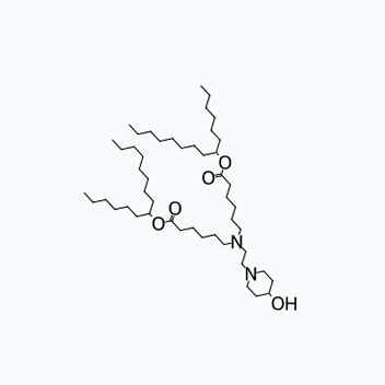 CCCCCCCCC(CCCCCC)OC(=O)CCCCCN(CCCCCC(=O)OC(CCCCCC)CCCCCCCC)CCN1CCC(O)CC1